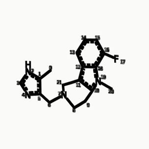 Cc1[nH]cnc1CN1CCc2c(c3cccc(F)c3n2C)C1